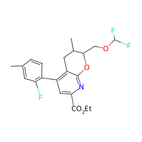 CCOC(=O)c1cc(-c2ccc(C)cc2F)c2c(n1)OC(COC(F)F)C(C)C2